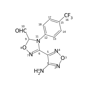 Nc1nonc1C1=NOC(C=O)N1c1ccc(C(F)(F)F)cc1